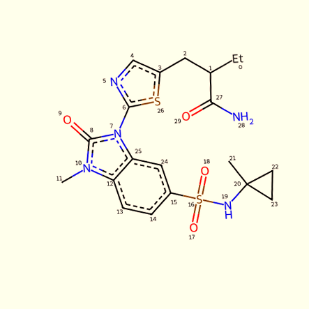 CCC(Cc1cnc(-n2c(=O)n(C)c3ccc(S(=O)(=O)NC4(C)CC4)cc32)s1)C(N)=O